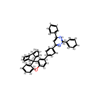 c1ccc(-c2cc(-c3ccc(-c4ccc5c(c4)C4(c6ccccc6O5)c5ccccc5-c5ccccc54)cc3)nc(-c3ccccc3)n2)cc1